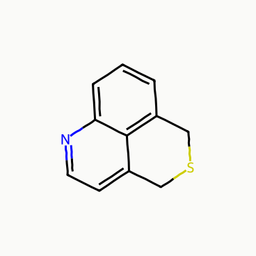 c1cc2c3c(ccnc3c1)CSC2